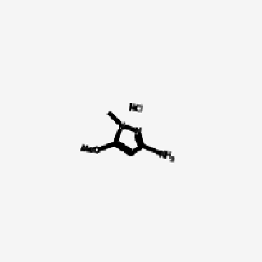 COc1cc(N)nn1C.Cl